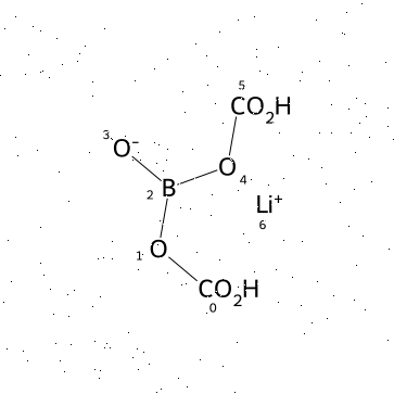 O=C(O)OB([O-])OC(=O)O.[Li+]